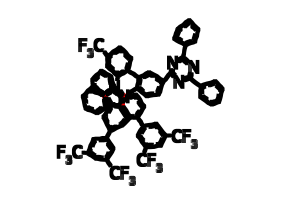 FC(F)(F)c1cc(-c2ccc3c(c2)c2ccccc2n3-c2ccc(-c3nc(-c4ccccc4)nc(-c4ccccc4)n3)cc2-c2ccc(C(F)(F)F)cc2-n2c3ccccc3c3cc(-c4cc(C(F)(F)F)cc(C(F)(F)F)c4)ccc32)cc(C(F)(F)F)c1